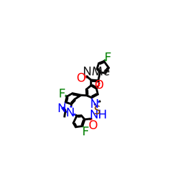 CNC(=O)c1c(-c2ccc(F)cc2)oc2cc3c(cc12)-c1cc(F)c2nc(C)n(c2c1)-c1ccc(F)c(c1)C(=O)NSN3C